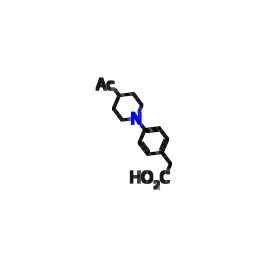 CC(=O)C1CCN(c2ccc(CC(=O)O)cc2)CC1